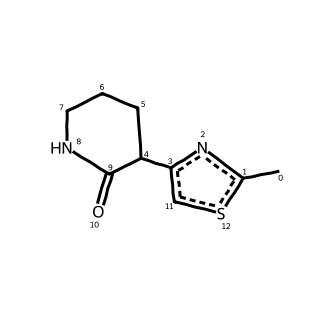 Cc1nc(C2CCCNC2=O)cs1